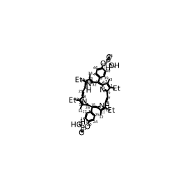 CCC1=C(C)c2nc1cc1[nH]c(c(C)c1CC)c(-c1ccc(O[PH](=O)O)cc1)c1nc(cc3[nH]c(c(C)c3CC)c2-c2ccc(O[PH](=O)O)cc2)C(CC)=C1C